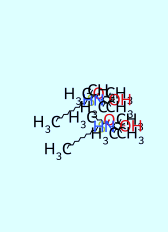 CCCCCCCCCCCCSC(C(=O)Nc1cc(C)c(O)c(C)c1C)C(C)C.CCCCCCCCCCCCSC(CCCC)C(=O)Nc1cc(C)c(O)c(C)c1C